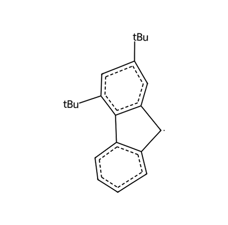 CC(C)(C)c1cc2c(c(C(C)(C)C)c1)-c1ccccc1[CH]2